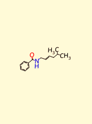 CC(C)CC=CCNC(=O)c1ccccc1